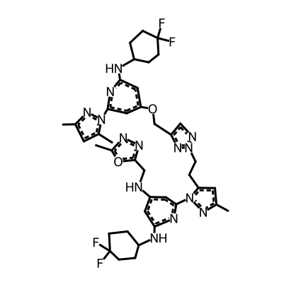 Cc1cc(C)n(-c2cc(OCc3cnn(CCc4cc(C)nn4-c4cc(NCc5nnc(C)o5)cc(NC5CCC(F)(F)CC5)n4)n3)cc(NC3CCC(F)(F)CC3)n2)n1